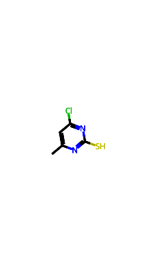 Cc1cc(Cl)nc(S)n1